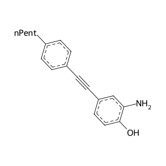 CCCCCc1ccc(C#Cc2ccc(O)c(N)c2)cc1